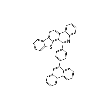 c1ccc2c(c1)cc(-c1ccc(-c3nc4ccccc4c4ccc5c6ccccc6sc5c34)cc1)c1ccccc12